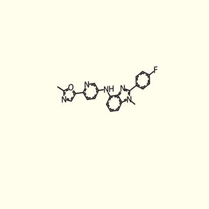 Cc1ncc(-c2ccc(Nc3cccc4c3nc(-c3ccc(F)cc3)n4C)cn2)o1